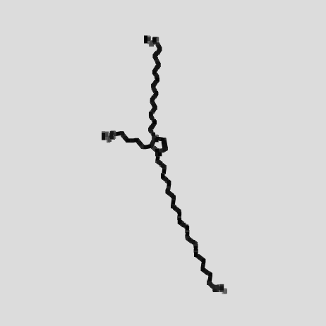 CCCCCCCCCCCCCCCCCCN1C=CN(CCCCCCCCCCCCC)C1CCCCC